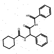 N=C(NC(=O)C(NC(=O)C1CCCCC1)c1ccccc1)c1ccccc1